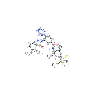 CCc1cc(C(F)(C(F)(F)F)C(F)(F)C(F)(F)F)cc(C)c1NC(=O)c1ccc(-n2cncn2)c(NC(=O)c2cccc([N+](=O)[O-])c2C)c1